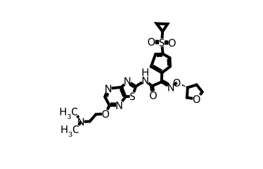 CN(C)CCOc1cnc2nc(NC(=O)/C(=N/O[C@@H]3CCOC3)c3ccc(S(=O)(=O)C4CC4)cc3)sc2n1